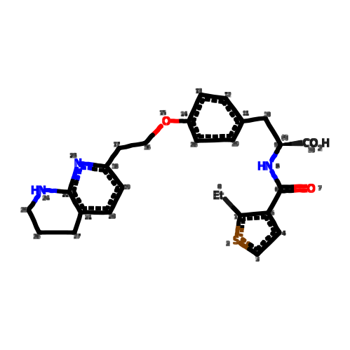 CCc1sccc1C(=O)N[C@@H](Cc1ccc(OCCc2ccc3c(n2)NCCC3)cc1)C(=O)O